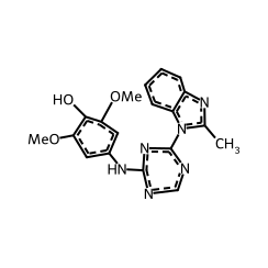 COc1cc(Nc2ncnc(-n3c(C)nc4ccccc43)n2)cc(OC)c1O